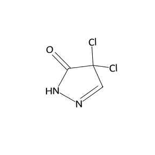 O=C1NN=CC1(Cl)Cl